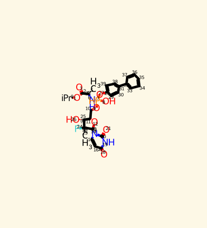 CC(C)OC(=O)[C@H](C)N[PH](O)(OCC1O[C@@H](n2ccc(=O)[nH]c2=O)[C@](C)(F)[C@@H]1O)Oc1ccc(-c2ccccc2)cc1